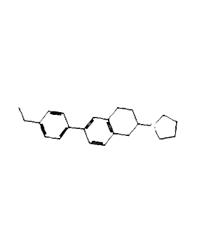 CCc1ccc(-c2ccc3c(c2)CCC(N2CCCC2)C3)cc1